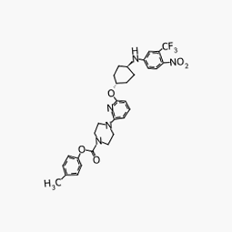 Cc1ccc(OC(=O)N2CCN(c3cccc(O[C@H]4CC[C@H](Nc5ccc([N+](=O)[O-])c(C(F)(F)F)c5)CC4)n3)CC2)cc1